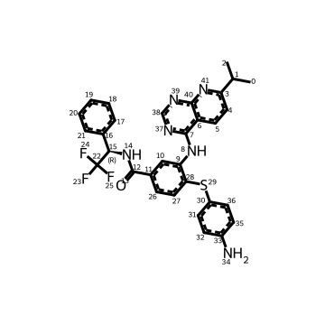 CC(C)c1ccc2c(Nc3cc(C(=O)N[C@H](c4ccccc4)C(F)(F)F)ccc3Sc3ccc(N)cc3)ncnc2n1